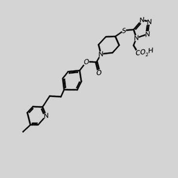 Cc1ccc(CCc2ccc(OC(=O)N3CCC(Sc4nnnn4CC(=O)O)CC3)cc2)nc1